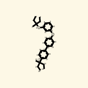 CCC(C)(CC)Oc1cccc(Oc2ccc(-c3ccc(C(C)(CC)CC)cc3)cc2)c1